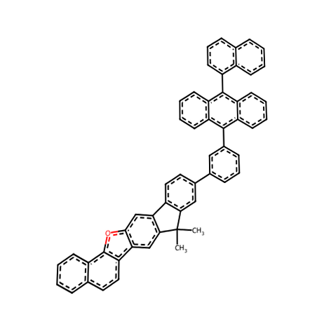 CC1(C)c2cc(-c3cccc(-c4c5ccccc5c(-c5cccc6ccccc56)c5ccccc45)c3)ccc2-c2cc3oc4c5ccccc5ccc4c3cc21